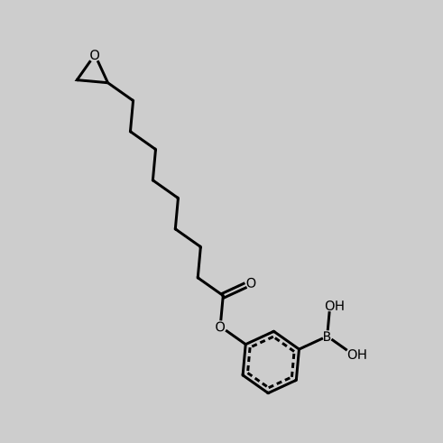 O=C(CCCCCCCCC1CO1)Oc1cccc(B(O)O)c1